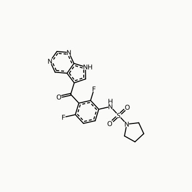 O=C(c1c(F)ccc(NS(=O)(=O)N2CCCC2)c1F)c1c[nH]c2ncncc12